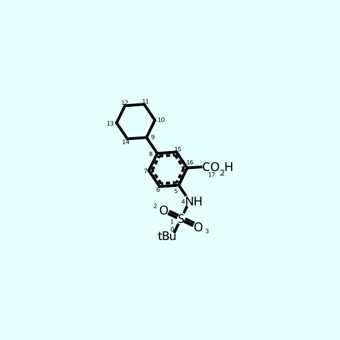 CC(C)(C)S(=O)(=O)Nc1ccc(C2CCCCC2)cc1C(=O)O